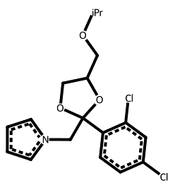 CC(C)OCC1COC(Cn2cccc2)(c2ccc(Cl)cc2Cl)O1